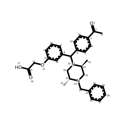 CC(=O)c1ccc(C(c2cccc(OCC(=O)O)c2)N2C[C@@H](C)N(Cc3ccccc3)C[C@@H]2C)cc1